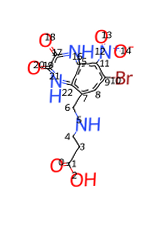 O=C(O)CCNCc1cc(Br)c([N+](=O)[O-])c2[nH]c(=O)c(=O)[nH]c12